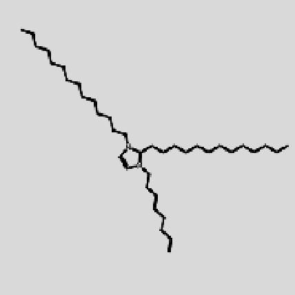 CCCCCCCCCCCCCCN1C=CN(CCCCCCCC)C1CCCCCCCCCCCCC